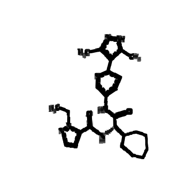 CCn1nccc1C(=O)N[C@H](C(=O)Nc1ccc(-c2c(C)n[nH]c2C)nc1)C1CCCCCC1